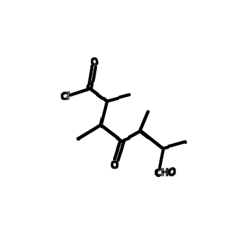 CC(C=O)C(C)C(=O)C(C)C(C)C(=O)Cl